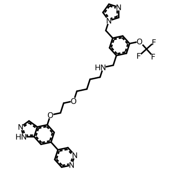 FC(F)(F)Oc1cc(CNCCCCOCCOc2cc(-c3ccnnc3)cc3[nH]ncc23)cc(Cn2ccnc2)c1